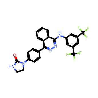 O=C1NCCN1c1ccc(-c2nnc(Nc3cc(C(F)(F)F)cc(C(F)(F)F)c3)c3ccccc23)cc1